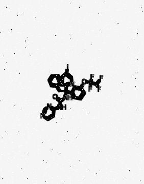 O=C(Nc1ccncn1)N[C@@](Cc1ccccc1)(c1cccc(OC(F)(F)C(F)F)c1)c1ccc(I)cn1